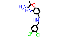 CC1=C(N)Nc2cc(CNCc3ccc(Cl)c(Cl)c3)ccc2O1